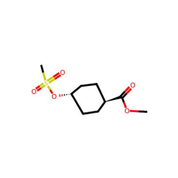 COC(=O)[C@H]1CC[C@H](OS(C)(=O)=O)CC1